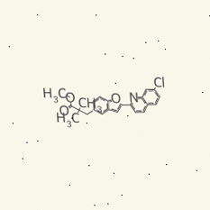 COC(=O)C(C)(C)Cc1ccc2oc(-c3ccc4ccc(Cl)cc4n3)cc2c1